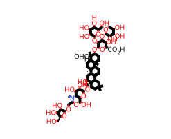 CN(C(=O)CO[C@@H]1O[C@@H](CO)C(O)C1O)[C@H]1C(CO)O[C@@H](OC(=O)[C@]23CCC(C)(C)CC2C2=CCC4C5(C)CC[C@H](O[C@@H]6OC(C(=O)O)[C@@H](O)[C@H](O[C@@H]7OC[C@@H](O)[C@H](O)C7O)C6O[C@@H]6OC(CO)[C@H](O)[C@H](O)C6O)[C@](C)(C=O)[C@@H]5CC[C@]4(C)[C@]2(C)CC3O)C(O)C1O